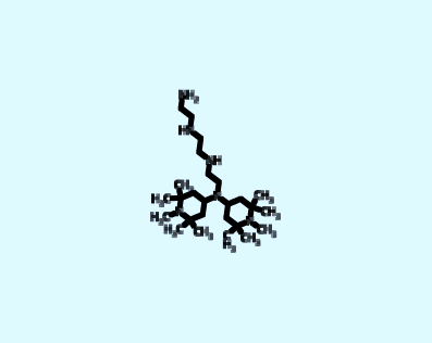 CN1C(C)(C)CC(N(CCNCCNCCN)C2CC(C)(C)N(C)C(C)(C)C2)CC1(C)C